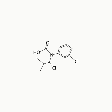 CC(C)C(Cl)N(C(=O)O)c1cccc(Cl)c1